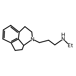 CCNCCCN1CCc2cccc3c2C1CC3